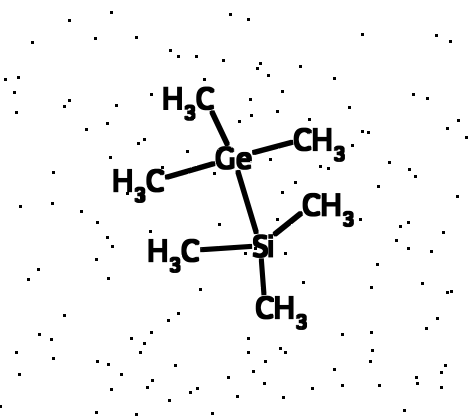 C[Si](C)(C)[Ge]([CH3])([CH3])[CH3]